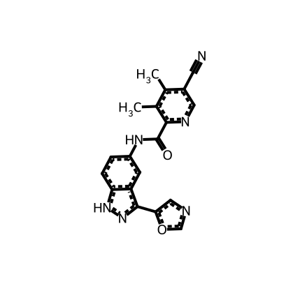 Cc1c(C#N)cnc(C(=O)Nc2ccc3[nH]nc(-c4cnco4)c3c2)c1C